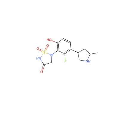 CC1CC(c2ccc(O)c(N3CC(=O)NS3(=O)=O)c2F)CN1